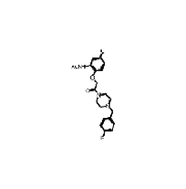 CC(=O)Nc1cc(Cl)ccc1OCC(=O)N1CCN(Cc2ccc(F)cc2)CC1